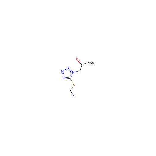 CNC(=O)Cn1nnnc1SCI